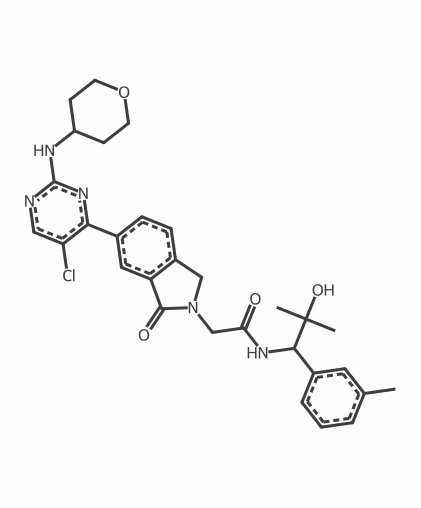 Cc1cccc(C(NC(=O)CN2Cc3ccc(-c4nc(NC5CCOCC5)ncc4Cl)cc3C2=O)C(C)(C)O)c1